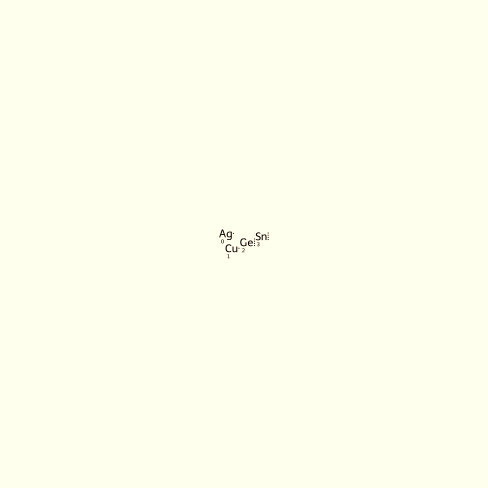 [Ag].[Cu].[Ge].[Sn]